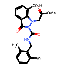 COC(=O)Cn1c2c(C(=O)O)cccc2c(=O)n1C(=O)NCc1c(C)cccc1C(C)C